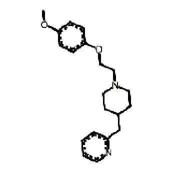 COc1ccc(OCCN2CCC(Cc3ccccn3)CC2)cc1